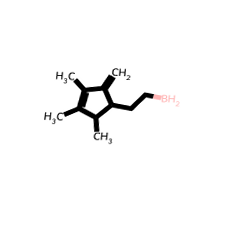 BCCC1C(=C)C(C)=C(C)C1C